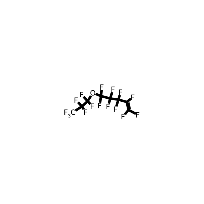 FC(F)=C(F)C(F)(F)C(F)(F)C(F)(F)OC(F)(F)C(F)(F)C(F)(F)F